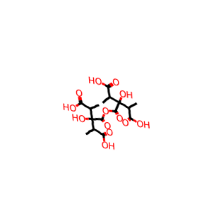 CC(C(=O)O)C(O)(C(=O)OC(=O)C(O)(C(C)C(=O)O)C(C)C(=O)O)C(C)C(=O)O